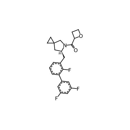 O=C(C1CCO1)N1CC2(CC2)C[C@@H]1Cc1cccc(-c2cc(F)cc(F)c2)c1F